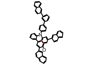 c1cc(-c2ccc(N(c3cccc(-c4ccc5ccccc5c4)c3)c3ccccc3-c3ccc4oc5c6ccccc6ccc5c4c3)cc2)cc(-c2ccc3ccccc3c2)c1